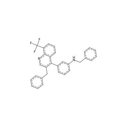 FC(F)(F)c1cccc2c(-c3cccc(NCc4ccccc4)c3)c(Cc3ccccc3)cnc12